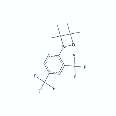 CC1(C)OB(c2ccc(C(F)(F)F)cc2C(F)(F)F)C1(C)C